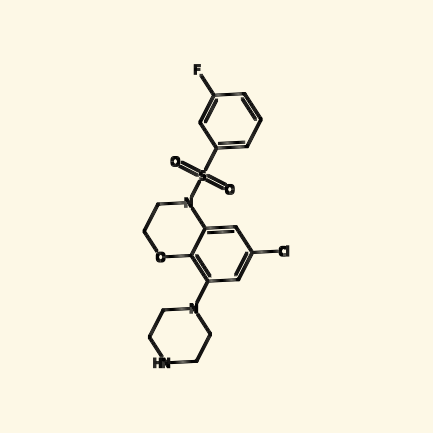 O=S(=O)(c1cccc(F)c1)N1CCOc2c(N3CCNCC3)cc(Cl)cc21